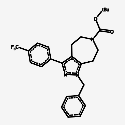 CC(C)(C)OC(=O)N1CCc2c(-c3ccc(C(F)(F)F)cc3)nn(Cc3ccccc3)c2CC1